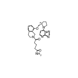 NC(=O)CCCC(=O)N1CCc2cccc(OC[C@H]3CCCN3c3ccnc4ncnn34)c2C1